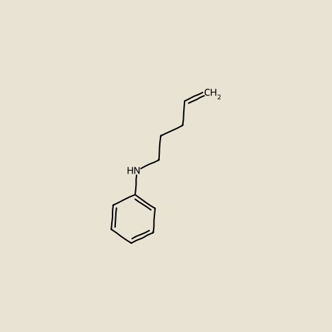 C=CCCCNc1ccccc1